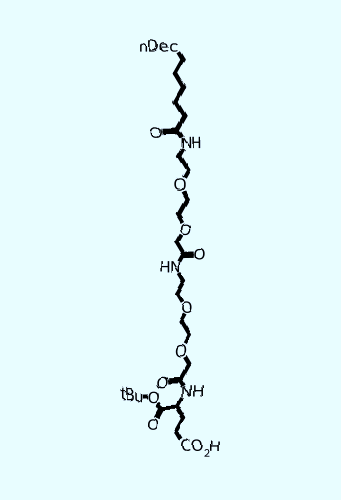 CCCCCCCCCCCCCCCC(=O)NCCOCCOCC(=O)NCCOCCOCC(=O)NC(CCC(=O)O)C(=O)OC(C)(C)C